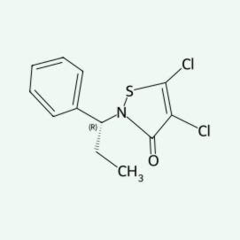 CC[C@H](c1ccccc1)n1sc(Cl)c(Cl)c1=O